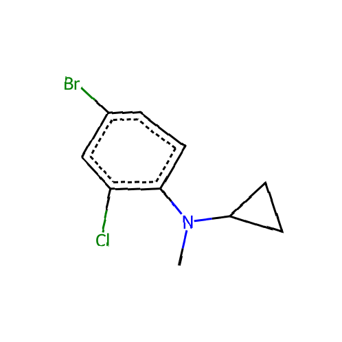 CN(c1ccc(Br)cc1Cl)C1CC1